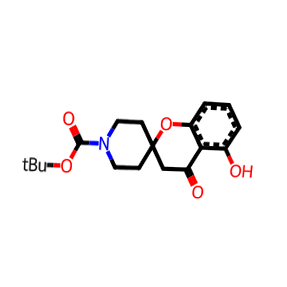 CC(C)(C)OC(=O)N1CCC2(CC1)CC(=O)c1c(O)cccc1O2